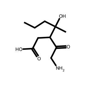 CCCC(C)(O)C(CC(=O)O)C(=O)CN